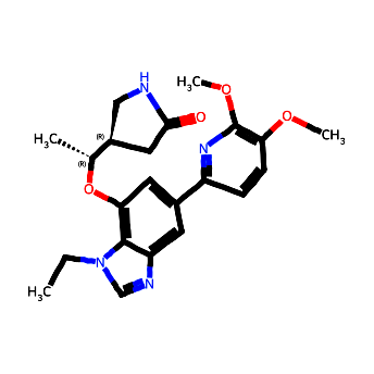 CCn1cnc2cc(-c3ccc(OC)c(OC)n3)cc(O[C@H](C)[C@H]3CNC(=O)C3)c21